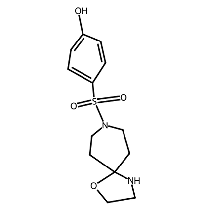 O=S(=O)(c1ccc(O)cc1)N1CCC2(CC1)NCCO2